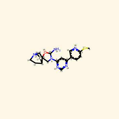 CSc1ccc(-c2cc(N3CC4(CN5CCC4CC5)OC3N)ncn2)cn1